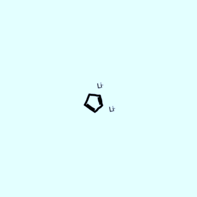 C1=CCC=C1.[Li].[Li]